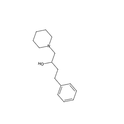 OC(CCc1ccccc1)CN1CCCCC1